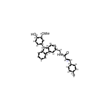 COc1cc(-n2c3ccccc3c3cc(CNC(=O)/C=C/c4ccc(F)cc4)ncc32)ccc1O